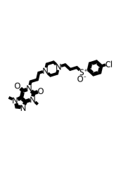 Cn1cnc2c1c(=O)n(CCCN1CCN(CCC[S+]([O-])c3ccc(Cl)cc3)CC1)c(=O)n2C